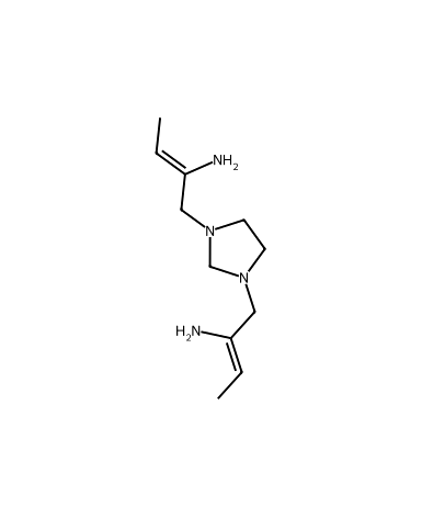 C/C=C(\N)CN1CCN(C/C(N)=C/C)C1